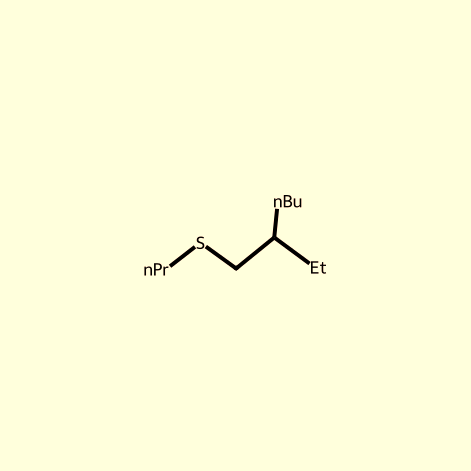 [CH2]CCSCC(CC)CCCC